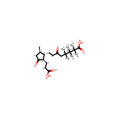 [2H]C([2H])(CC(=O)CC[C@H]1[C@H](C)CC(=O)[C@@H]1CCC(=O)O)C([2H])([2H])C([2H])([2H])C(=O)O